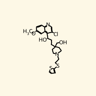 COc1ccc2ncc(Cl)c([C@@H](O)CCC3(CO)CCN(CCSc4cccs4)CC3)c2c1